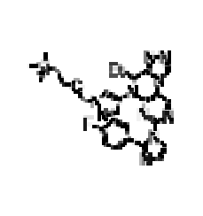 CCC1c2nncn2-c2cnc(-n3ccnc3-c3ccc(F)cc3)nc2N1c1cnn(COCC[Si](C)(C)C)c1